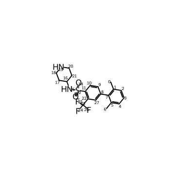 Cc1cccc(C)c1-c1ccc(S(=O)(=O)NC2CCNCC2)c(C(F)(F)F)c1